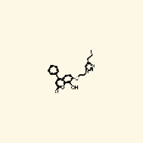 O=c1cc(-c2ccccc2)c2ccc(OCCn3cc(CCF)nn3)c(O)c2o1